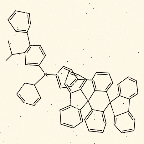 CC(C)c1cc(N(c2ccc(-c3cccc4c3C3(c5ccccc5-c5ccccc53)c3ccccc3C43c4ccccc4-c4ccccc43)cc2)C2C=CC=CC2)ccc1-c1ccccc1